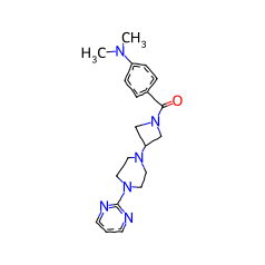 CN(C)c1ccc(C(=O)N2CC(N3CCN(c4ncccn4)CC3)C2)cc1